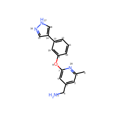 Cc1cc(CN)cc(Oc2cccc(-c3cn[nH]c3)c2)n1